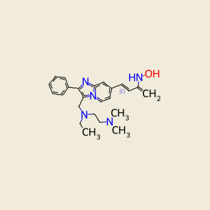 C=C(/C=C/c1ccn2c(CN(CC)CCN(C)C)c(-c3ccccc3)nc2c1)NO